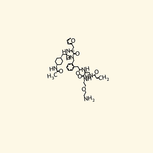 C=CC(=O)NC[C@H](NC(=O)Cc1ccccc1CNC(=O)[C@H](Cc1ccco1)NC(=O)C[C@H]1CC[C@@H](NC(C)=O)CC1)C(=O)NCCOCCN